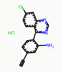 C#Cc1ccc(-c2ncnc3cc(Cl)ccc23)c(N)c1.Cl